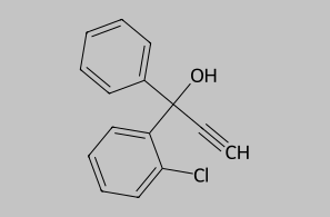 C#CC(O)(c1ccccc1)c1ccccc1Cl